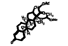 COC(C)O[C@]1(C(=O)COC(C)=O)C(C)C[C@H]2[C@@H]3CCC4=CC(=O)CC[C@]4(C)[C@H]3CC[C@@]21C